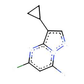 Nc1cc(Cl)nc2c(C3CC3)cnn12